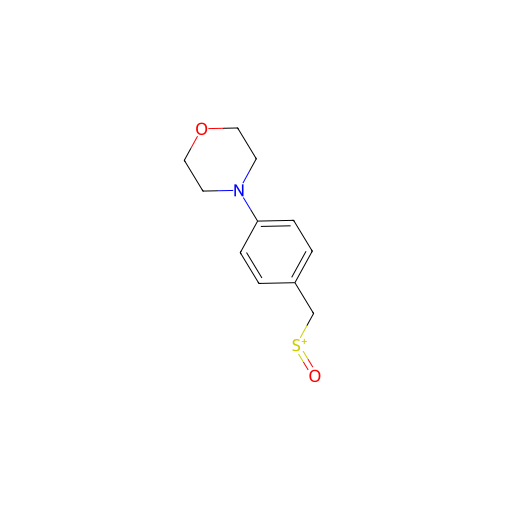 O=[S+]Cc1ccc(N2CCOCC2)cc1